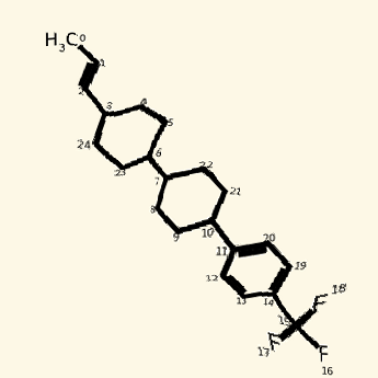 C/C=C/C1CCC(C2CCC(c3ccc(C(F)(F)F)cc3)CC2)CC1